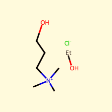 C[N+](C)(C)CCCO.[CH2]CO.[Cl-]